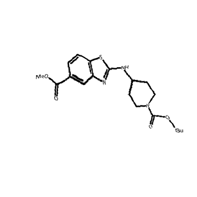 COC(=O)c1ccc2sc(NC3CCN(C(=O)OC(C)(C)C)CC3)nc2c1